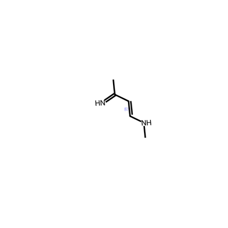 CN/C=C/C(C)=N